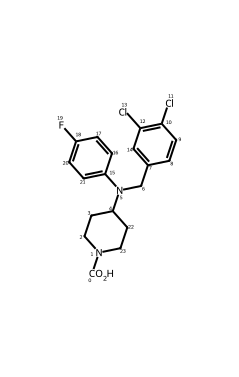 O=C(O)N1CCC(N(Cc2ccc(Cl)c(Cl)c2)c2ccc(F)cc2)CC1